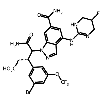 NC(=O)c1cc(NC2=NCC(F)CN2)c2cnn(C(C(N)=O)[C@@H](CC(=O)O)c3cc(Br)cc(OC(F)(F)F)c3)c2c1